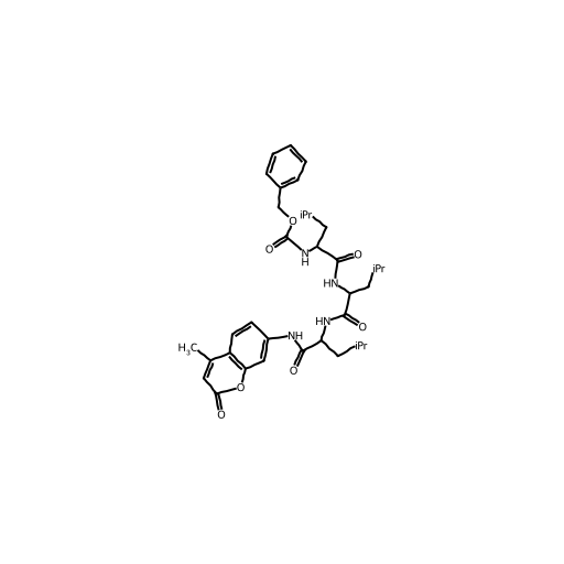 Cc1cc(=O)oc2cc(NC(=O)C(CC(C)C)NC(=O)C(CC(C)C)NC(=O)C(CC(C)C)NC(=O)OCc3ccccc3)ccc12